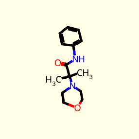 CC(C)(C(=O)Nc1ccccc1)N1CCOCC1